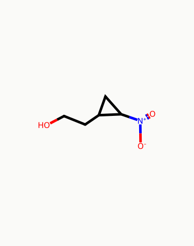 O=[N+]([O-])C1CC1CCO